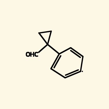 O=CC1(c2cc[c]cc2)CC1